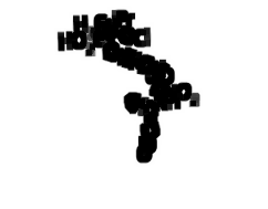 Cc1c(C(=O)O)c(-c2cccc(N3CCN(c4ccc(N5CCOP5(=O)c5ccc(NC(CCN6CCC(OP=O)CC6)CSc6ccccc6)c([N+](=O)[O-])c5)cc4)CC3)c2)c(-c2ccc(Cl)cc2)n1C(C)C